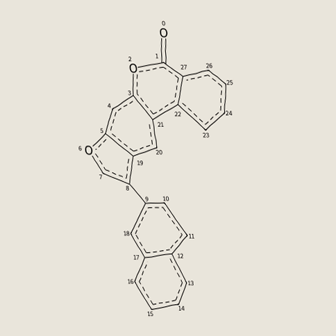 O=c1oc2cc3occ(-c4ccc5ccccc5c4)c3cc2c2ccccc12